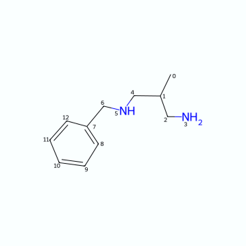 CC(CN)CNCc1ccccc1